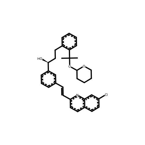 CC(C)(OC1CCCCO1)c1ccccc1CC[C@H](O)c1cccc(C=Cc2ccc3ccc(Cl)cc3n2)c1